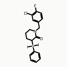 O=C1C(S(I)(I)c2ccccc2)CCCN1Cc1ccc(F)c(Cl)c1